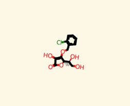 O=C1O[C@H]([C@@H](O)CO)C(OCc2ccccc2Cl)=C1O